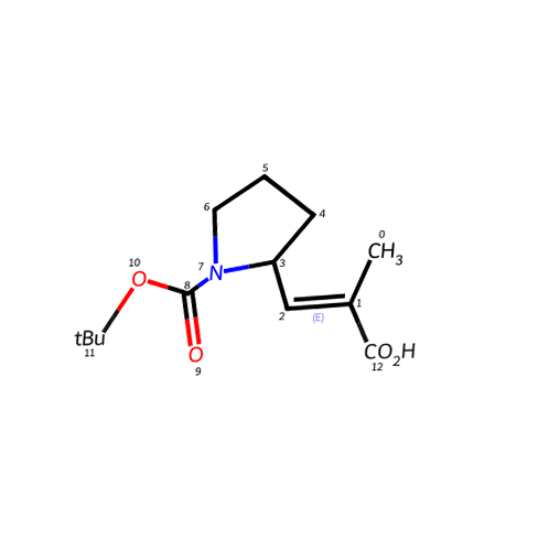 C/C(=C\C1CCCN1C(=O)OC(C)(C)C)C(=O)O